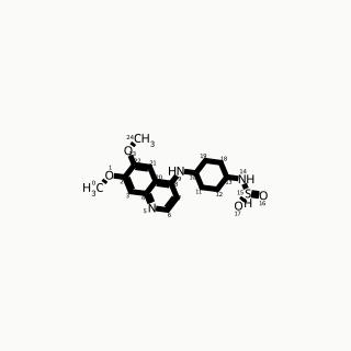 COc1cc2nccc(NC3CCC(N[SH](=O)=O)CC3)c2cc1OC